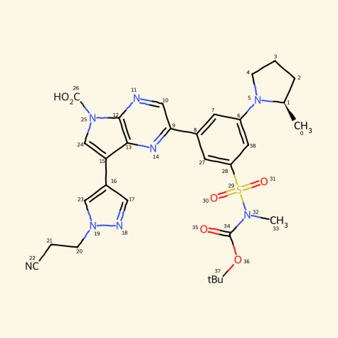 C[C@@H]1CCCN1c1cc(-c2cnc3c(n2)c(-c2cnn(CCC#N)c2)cn3C(=O)O)cc(S(=O)(=O)N(C)C(=O)OC(C)(C)C)c1